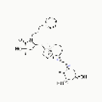 C=C1/C(=C\C=C2/CCC[C@]3(C)C(CC4CC(C)(O)C(=O)N4CCCc4ccccc4)CC[C@@H]23)C[C@@H](O)C[C@@H]1O